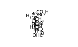 C[C@H](CC(Br)(Br)C(=O)O)[C@H]1CC[C@H]2[C@@H]3CC[C@@H]4C[C@H](OC=O)CC[C@]4(C)[C@H]3C(=O)C[C@]12C